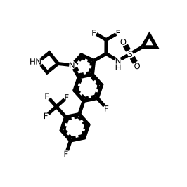 O=S(=O)(NC(c1cn(C2CNC2)c2cc(-c3ccc(F)cc3C(F)(F)F)c(F)cc12)C(F)F)C1CC1